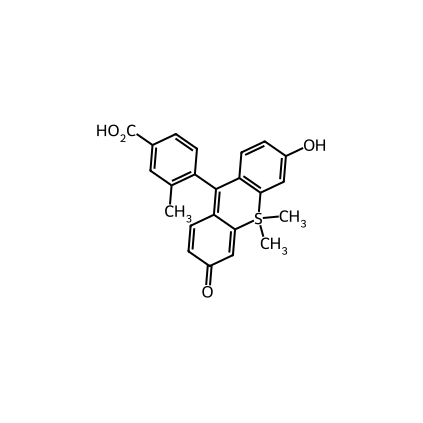 Cc1cc(C(=O)O)ccc1C1=C2C=CC(=O)C=C2S(C)(C)c2cc(O)ccc21